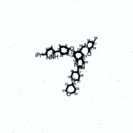 CC(C)C(=N)/C=C\C(=N)c1ccc(Oc2cc3nc(C4CCN(C5CCOCC5)CC4)ncc3cc2CN2C[C@@H](C)CC2=O)cc1